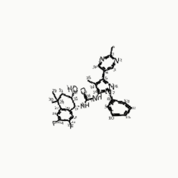 Cc1ncc(-c2nn(-c3ccccc3)c(NC(=O)N[C@@H]3c4cc(F)c(F)cc4C(C)(C)C[C@H]3O)c2C)cn1